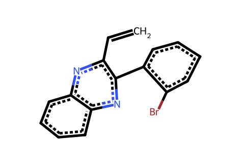 C=Cc1nc2ccccc2nc1-c1ccccc1Br